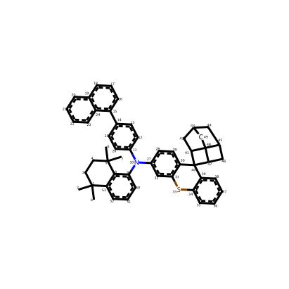 CC1(C)CCC(C)(C)c2c(N(c3ccc(-c4cccc5ccccc45)cc3)c3ccc4c(c3)Sc3ccccc3C43C4CC5CC6CC3C64C5)cccc21